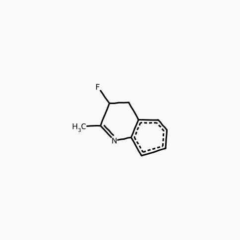 CC1=Nc2ccccc2CC1F